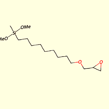 CO[Si](C)(CCCCCCCCCOCC1CO1)OC